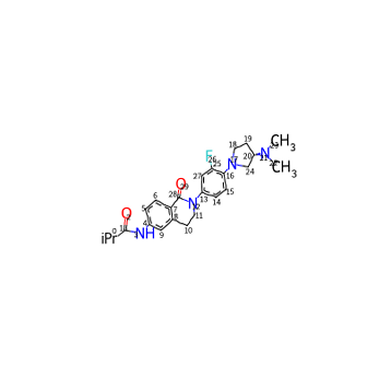 CC(C)C(=O)Nc1ccc2c(c1)CCN(c1ccc(N3CC[C@@H](N(C)C)C3)c(F)c1)C2=O